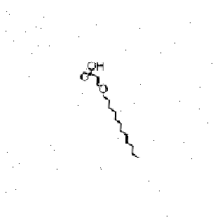 CCCCCCCCCCCCOC=CC(=O)O